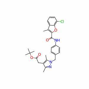 Cc1nn(Cc2ccc(NC(=O)c3oc4c(Cl)cccc4c3C)cc2)c(C)c1CC(=O)OC(C)(C)C